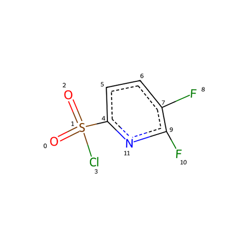 O=S(=O)(Cl)c1ccc(F)c(F)n1